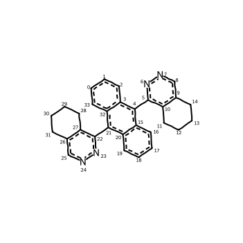 c1ccc2c(-c3nncc4c3CCCC4)c3ccccc3c(-c3nncc4c3CCCC4)c2c1